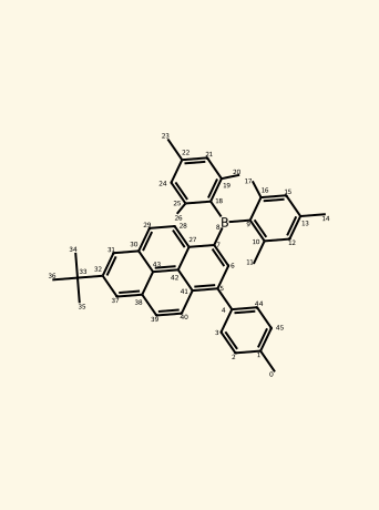 Cc1ccc(-c2cc(B(c3c(C)cc(C)cc3C)c3c(C)cc(C)cc3C)c3ccc4cc(C(C)(C)C)cc5ccc2c3c45)cc1